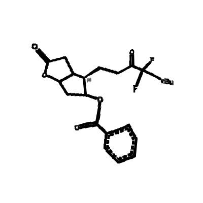 CCCCC(F)(F)C(=O)CC[C@H]1C(OC(=O)c2ccccc2)CC2OC(=O)CC21